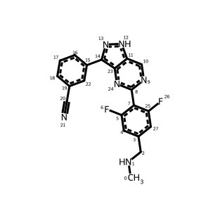 CNCc1cc(F)c(-c2ncc3[nH]nc(-c4cccc(C#N)c4)c3n2)c(F)c1